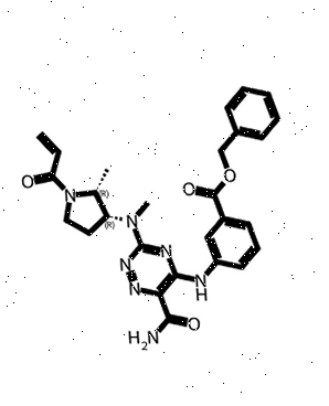 C=CC(=O)N1CC[C@@H](N(C)c2nnc(C(N)=O)c(Nc3cccc(C(=O)OCc4ccccc4)c3)n2)[C@H]1C